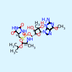 COc1nc(N)nc2c1ncn2[C@@H]1O[C@H](COP(=O)(N[C@@H](C)C(=O)OC(C)C)SC[C@@H]2NC(=O)NC2=O)[C@@H](O)[C@@]1(C)O